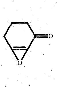 O=C1CCCC2=C1O2